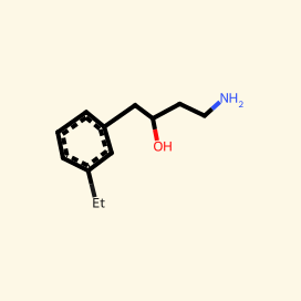 CCc1cccc(CC(O)CCN)c1